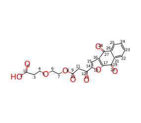 O=C(O)CCOCCOC(=O)CC(=O)c1cc2c(o1)C(=O)c1ccccc1C2=O